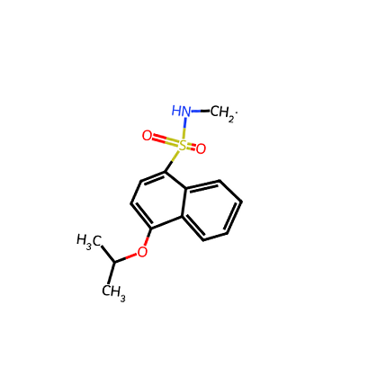 [CH2]NS(=O)(=O)c1ccc(OC(C)C)c2ccccc12